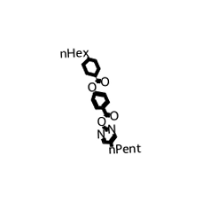 CCCCCC[C@H]1CC[C@H](C(=O)Oc2ccc(C(=O)Oc3ncc(CCCCC)cn3)cc2)CC1